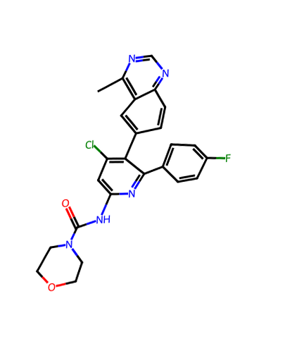 Cc1ncnc2ccc(-c3c(Cl)cc(NC(=O)N4CCOCC4)nc3-c3ccc(F)cc3)cc12